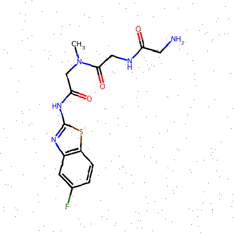 CN(CC(=O)Nc1nc2cc(F)ccc2s1)C(=O)CNC(=O)CN